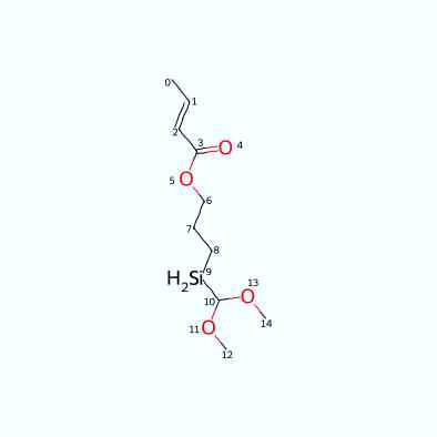 CC=CC(=O)OCCC[SiH2]C(OC)OC